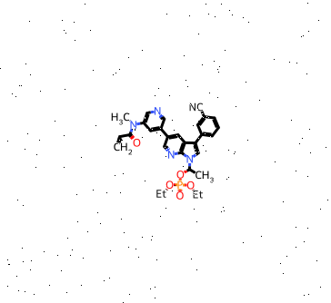 C=CC(=O)N(C)c1cncc(-c2cnc3c(c2)c(-c2cccc(C#N)c2)cn3C(C)OP(=O)(OCC)OCC)c1